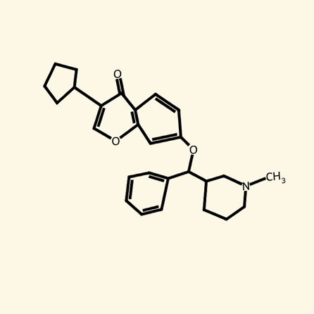 CN1CCCC(C(Oc2ccc3c(=O)c(C4CCCC4)coc3c2)c2ccccc2)C1